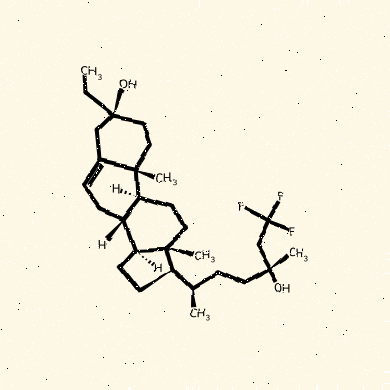 CC[C@]1(O)CC[C@@]2(C)C(=CC[C@H]3[C@@H]4CC[C@H]([C@H](C)CC[C@@](C)(O)CC(F)(F)F)[C@@]4(C)CC[C@@H]32)C1